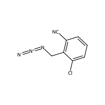 N#Cc1cccc(Cl)c1CN=[N+]=[N-]